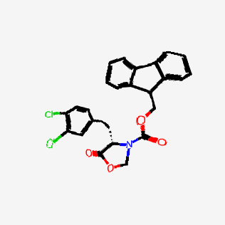 O=C1OCN(C(=O)OCC2c3ccccc3-c3ccccc32)[C@H]1Cc1ccc(Cl)c(Cl)c1